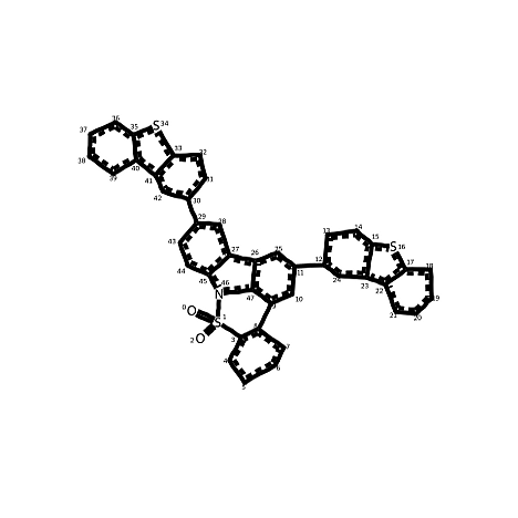 O=S1(=O)c2ccccc2-c2cc(-c3ccc4sc5ccccc5c4c3)cc3c4cc(-c5ccc6sc7ccccc7c6c5)ccc4n1c23